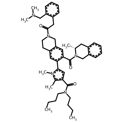 CCCCN(CCCC)C(=O)c1cc(-c2cc3c(cc2C(=O)N2Cc4ccccc4C[C@H]2C)CN(C(=O)Cc2ccccc2CN(C)C)CC3)n(C)c1C